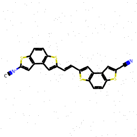 [C-]#[N+]c1cc2c(ccc3sc(/C=C/c4cc5c(ccc6sc(C#N)cc65)s4)cc32)s1